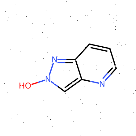 On1cc2ncccc2n1